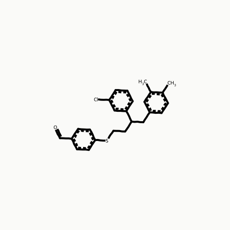 Cc1ccc(CC(CCSc2ccc(C=O)cc2)c2cccc(Cl)c2)cc1C